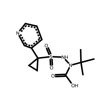 CC(C)(C)N(NS(=O)(=O)C1(c2cccnc2)CC1)C(=O)O